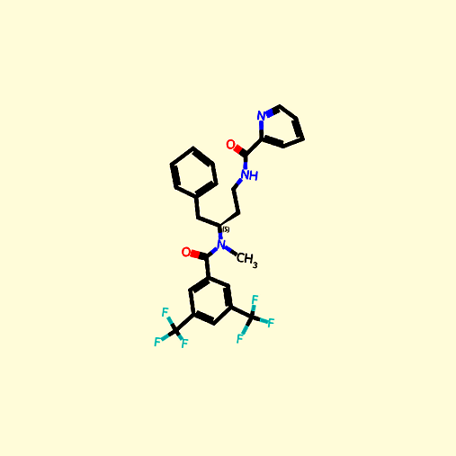 CN(C(=O)c1cc(C(F)(F)F)cc(C(F)(F)F)c1)[C@H](CCNC(=O)c1ccccn1)Cc1ccccc1